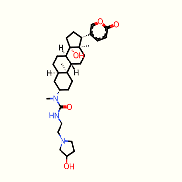 CN(C(=O)NCCN1CCC(O)C1)[C@H]1CC[C@@]2(C)[C@H](CC[C@@H]3[C@@H]2CC[C@]2(C)[C@@H](c4ccc(=O)oc4)CC[C@]32O)C1